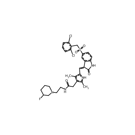 Cc1[nH]c(/C=C2\C(=O)Nc3ccc(S(=O)(=O)Cc4c(Cl)cccc4Cl)cc32)c(C)c1CC(=O)NCCN1CCCC(F)C1